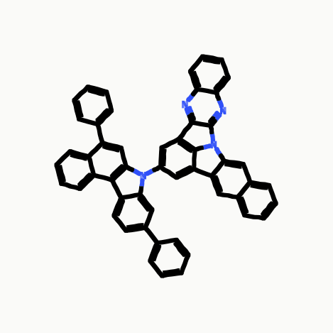 c1ccc(-c2ccc3c4c5ccccc5c(-c5ccccc5)cc4n(-c4cc5c6cc7ccccc7cc6n6c7nc8ccccc8nc7c(c4)c56)c3c2)cc1